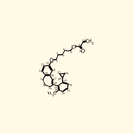 C=CC(=O)OCCCCCOc1ccc2c(c1)C=C(c1c(C)cccc1C1CC1)CCC2